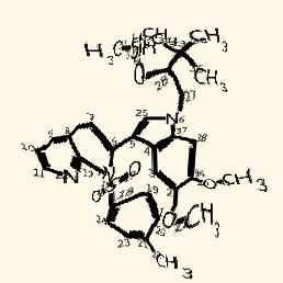 COc1cc2c(-c3cc4cccnc4n3S(=O)(=O)c3ccc(C)cc3)cn(CC(O[SiH](C)C)C(C)(C)C)c2cc1OC